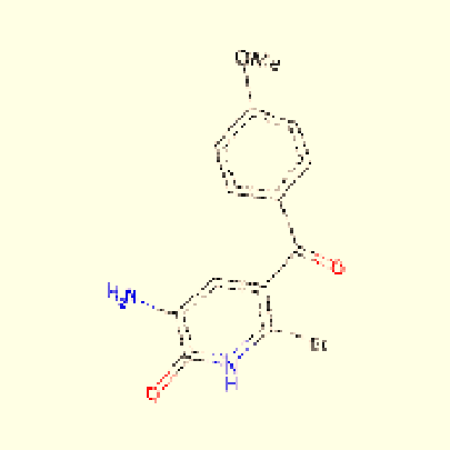 CCc1[nH]c(=O)c(N)cc1C(=O)c1ccc(OC)cc1